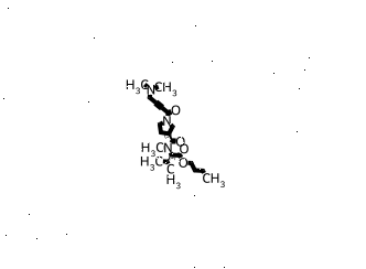 CCCCOC(=O)[C@H](C(C)C)N(C)C(=O)[C@H]1CCN(C(=O)C#CCN(C)C)C1